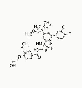 CNC(C)(COC)c1cc(-c2ccc(F)c(Cl)c2)nc(C(O)(CNC(=O)c2ccc(OCCO)c(OC)c2)C(F)(F)F)c1